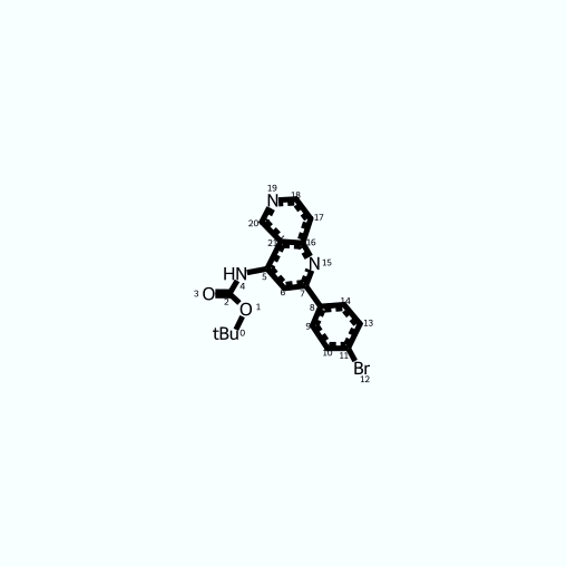 CC(C)(C)OC(=O)Nc1cc(-c2ccc(Br)cc2)nc2ccncc12